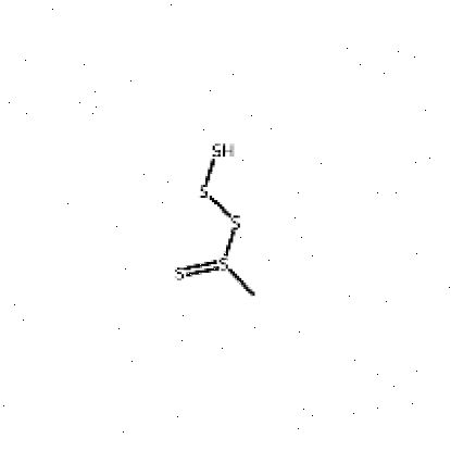 CS(=S)SSS